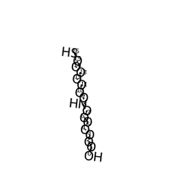 OOOOOOOONOOOOOOOS